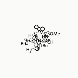 C#CC[C@H](NC(=O)[C@H](CC(C)C)NC(=O)[C@@H](NC(=O)[C@H](Cc1ccccc1C)NC(=O)[C@H](CCC(=O)OC(C)(C)C)NC(=O)OCC1c2ccccc2-c2ccccc21)C(C)(C)C)C(OC)OC